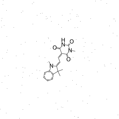 CN1C(=O)NC(=O)/C(=C/C=C2\N(C)c3ccccc3C2(C)C)C1=O